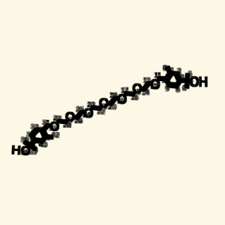 Cc1cc(C(C)(C)O)ccc1COCCOCCOCCOCCOCCOCCOCc1ccc(C(C)(C)O)cc1C